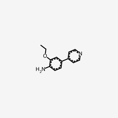 CCOc1cc(-c2ccncc2)ccc1N